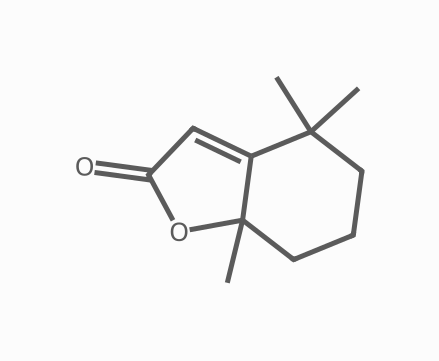 CC1(C)CCCC2(C)OC(=O)C=C12